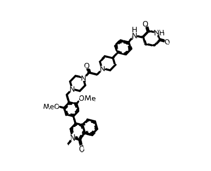 COc1cc(-c2cn(C)c(=O)c3ccccc23)cc(OC)c1CN1CCN(C(=O)CN2CCC(c3ccc(NC4CCC(=O)NC4=O)cc3)CC2)CC1